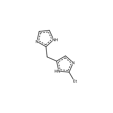 CCc1ncc(Cc2ncc[nH]2)[nH]1